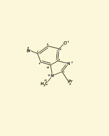 CC(C)c1nc2c(Cl)cc(Br)cc2n1C